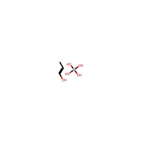 CC=CO.O[Si](O)(O)O